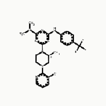 C[C@H]1CN(c2ncccc2Cl)CCN1c1nc(Nc2ccc(C(F)(F)F)cc2)nc(N(C)C)n1